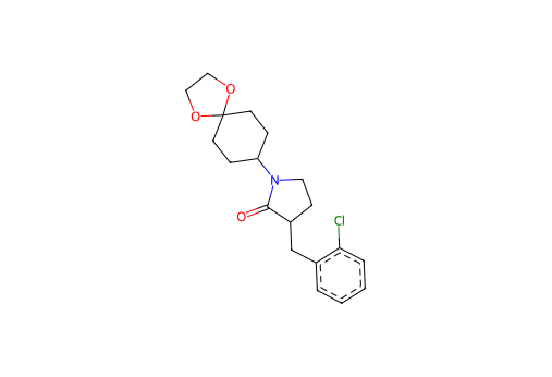 O=C1C(Cc2ccccc2Cl)CCN1C1CCC2(CC1)OCCO2